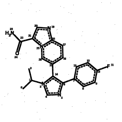 CC(C)n1cnc(-c2ccc(F)cc2)c1-c1ccc2ncc(C(N)=O)n2c1